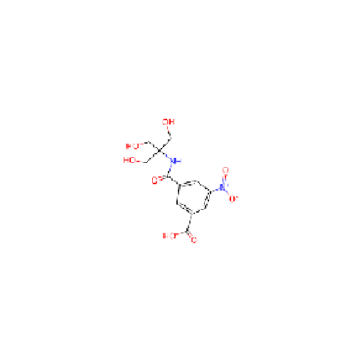 O=C(O)c1cc(C(=O)NC(CO)(CO)CO)cc([N+](=O)[O-])c1